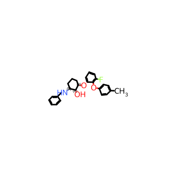 Cc1ccc(Oc2c(F)cccc2O[C@@H]2CCC[C@@H](NCc3ccccc3)[C@H]2O)cc1